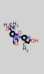 Cc1cc(O)nc2ccc(NC(=O)c3cc(C(=O)N(C)C)ccc3N3CCOCC3)cc12